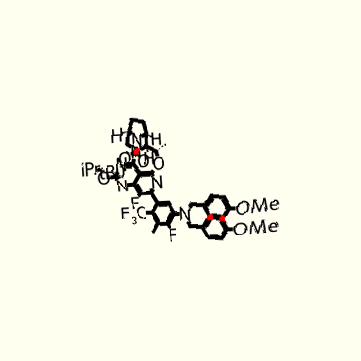 COc1ccc(CN(Cc2ccc(OC)cc2)c2cc(-c3nc4c5c(nc(OC(C)C)nc5c3F)N3C[C@H]5CC[C@@H]([C@H]3[C@H](C)O4)N5C(=O)OC(C)(C)C)c(C(F)(F)F)c(C)c2F)cc1